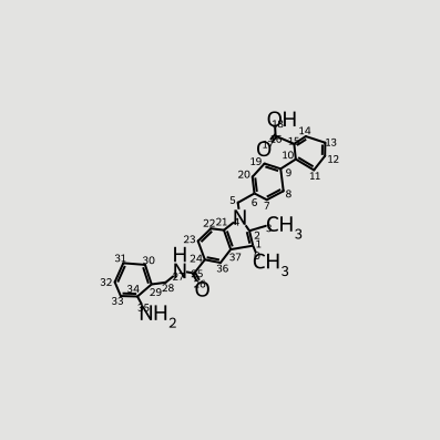 Cc1c(C)n(Cc2ccc(-c3ccccc3C(=O)O)cc2)c2ccc(C(=O)NCc3ccccc3N)cc12